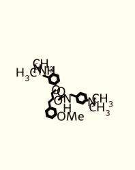 COc1cccc(CC(COc2cccc(CNN(C)C)c2)OC(=O)NCc2ccc(N(C)C)cc2)c1